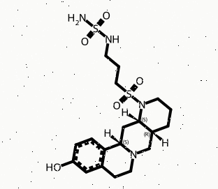 NS(=O)(=O)NCCCS(=O)(=O)N1CCC[C@@H]2CN3CCc4cc(O)ccc4[C@@H]3C[C@@H]21